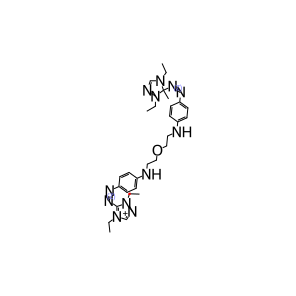 CCN1C=NN(CC)C1(C)/N=N\c1ccc(NCCOCCNc2ccc(/N=N\c3n(CC)nc[n+]3CC)cc2)cc1